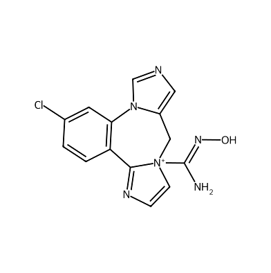 NC(=NO)[N+]12C=CN=C1c1ccc(Cl)cc1-n1cncc1C2